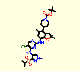 Cc1cc(Nc2ncc(Cl)c(Nc3cn(C)nc3S(=O)(=O)C(C)C)n2)c2c(c1C1CCN(C(=O)OC(C)(C)C)CC1)C[C@@H](C)O2